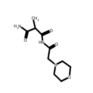 C[C](C(N)=O)C(=O)NC(=O)CN1CCOCC1